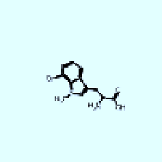 Cn1cc(CC(N)C(=O)O)c2cccc(Br)c21